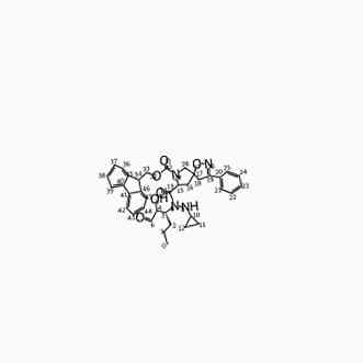 CCC[C@@H](C(O)C=O)N(NC1CC1)C(=O)C1CC2(CC(c3ccccc3)=NO2)CN1C(=O)OCC1c2ccccc2-c2ccccc21